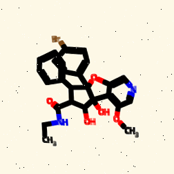 CCNC(=O)C1C(O)C2(O)c3c(OC)cncc3OC2(c2ccc(Br)cc2)C1c1ccccc1